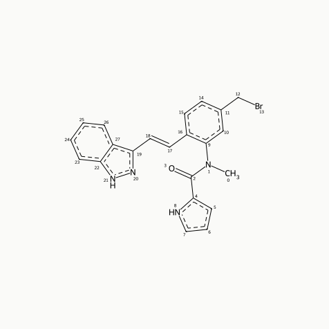 CN(C(=O)c1ccc[nH]1)c1cc(CBr)ccc1/C=C/c1n[nH]c2ccccc12